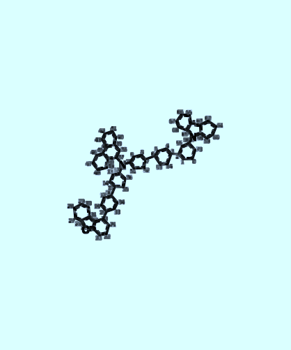 c1cc(-c2ccc(-c3ccc(N(c4ccc(-c5ccc(-c6cccc7oc8ccccc8c67)cc5)cc4)c4cc5ccccc5c5ccccc45)cc3)cc2)cc(-n2c3ccccc3c3ccccc32)c1